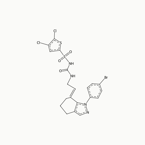 O=C(NC/C=C1\CCCc2cnn(-c3ccc(Br)cc3)c21)NS(=O)(=O)c1cc(Cl)c(Cl)s1